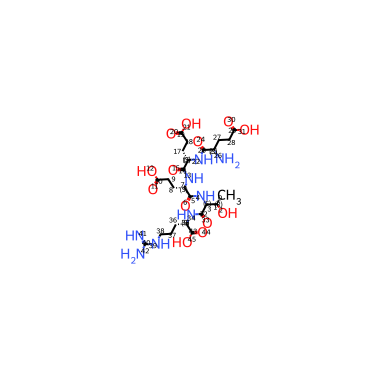 C[C@@H](O)[C@H](NC(=O)[C@H](CCC(=O)O)NC(=O)[C@H](CCC(=O)O)NC(=O)[C@@H](N)CCC(=O)O)C(=O)N[C@@H](CCCNC(=N)N)C(=O)O